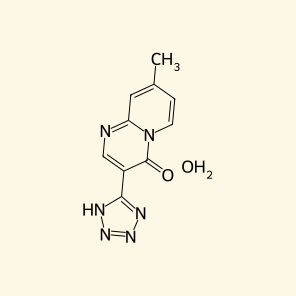 Cc1ccn2c(=O)c(-c3nnn[nH]3)cnc2c1.O